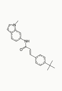 Cn1ccc2ccc(NC(=O)C=Cc3ccc(C(C)(C)C)cc3)cc21